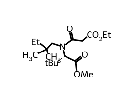 CCOC(=O)CC(=O)N(CC(C)(C)CC)[C@H](C(=O)OC)C(C)(C)C